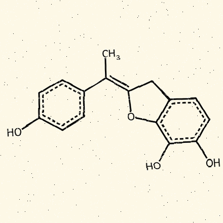 CC(=C1Cc2ccc(O)c(O)c2O1)c1ccc(O)cc1